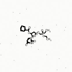 CCOP(=O)(CC)CO[C@@H]1CC(OC(=O)c2ccccc2)[C@H](n2ccc(=O)[nH]c2=O)O1